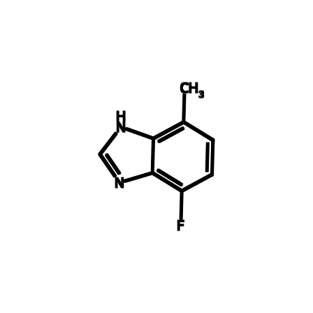 Cc1ccc(F)c2nc[nH]c12